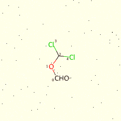 O=[C]OC(Cl)Cl